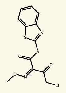 CO/N=C(/C(=O)CCl)C(=O)Sc1nc2ccccc2s1